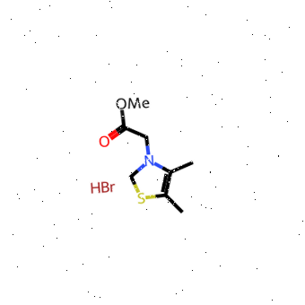 Br.COC(=O)CN1CSC(C)=C1C